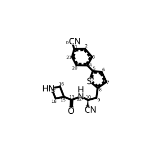 N#Cc1ccc(-c2ccc(C[C@@H](C#N)NC(=O)C3CNC3)s2)cc1